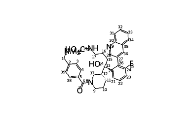 CNCc1ccc(C(=O)N2CCC[C@@H]([C@@](O)(CCCNC(=O)O)c3cccc(F)c3-c3cnc4ccccc4c3)C2)cc1